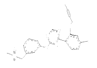 CC#CCOc1cc(F)ccc1-c1ncnc(Nc2cccc(CS(C)(=N)=O)c2)n1